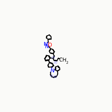 C=C/C=C\C(=C\c1ccc(-c2nnc(-c3ccccc3)o2)cc1)c1ccccc1-c1ccc(N2C/C=C\C=C/Cc3ccccc32)cc1